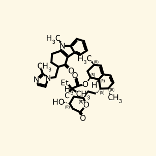 CCC(C)(C)C(=O)O[C@H]1C[C@@H](C)C=C2C=C[C@H](C)[C@H](CC[C@@H]3C[C@@H](O)CC(=O)O3)[C@H]21.Cc1nccn1CC1CCc2c(c3ccccc3n2C)C1=O